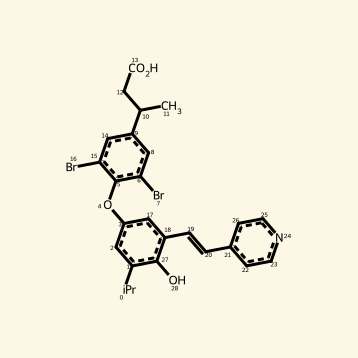 CC(C)c1cc(Oc2c(Br)cc(C(C)CC(=O)O)cc2Br)cc(C=Cc2ccncc2)c1O